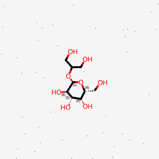 OCC(CO)O[C@H]1O[C@H](CO)[C@H](O)[C@H](O)[C@H]1O